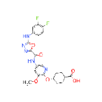 COc1cc(NC(=O)c2nnc(Nc3ccc(F)c(F)c3)o2)cnc1O[C@H]1CC[C@H](C(=O)O)CC1